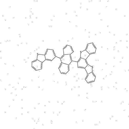 c1ccc2c(c1)sc1ccc(-c3c4ccccc4c(-c4cc5c6ccccc6sc5c5c4sc4ccccc45)c4ccccc34)cc12